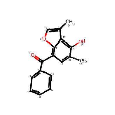 Cc1coc2c(C(=O)c3ccccc3)cc(C(C)(C)C)c(O)c12